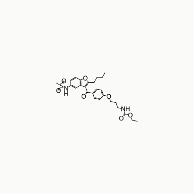 CCCCc1oc2ccc(NS(C)(=O)=O)cc2c1C(=O)c1ccc(OCCCNC(=O)OCC)cc1